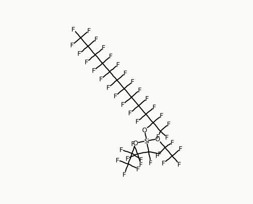 FC(F)(F)C(F)(F)O[Si](OC(F)(F)C(F)(F)F)(OC(F)(C(F)(F)F)C(F)(F)C(F)(F)C(F)(F)C(F)(F)C(F)(F)C(F)(F)C(F)(F)C(F)(F)C(F)(F)C(F)(F)F)C(F)(F)C(F)(F)F